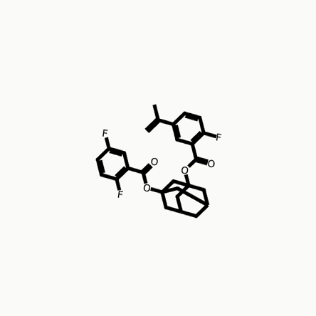 C=C(C)c1ccc(F)c(C(=O)OC23CC4CC(CC(OC(=O)c5cc(F)ccc5F)(C4)C2)C3)c1